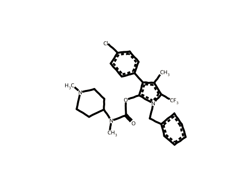 Cc1c(-c2ccc(Cl)cc2)c(OC(=O)N(C)C2CCN(C)CC2)n(Cc2ccccc2)c1C(F)(F)F